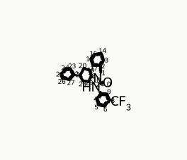 O=C(Nc1cccc(C(F)(F)F)c1)N(Cc1ccccc1)[C@H]1CC[C@H](c2ccccc2)CC1